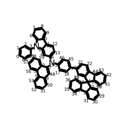 c1ccc(-n2c3ccccc3c3ccc(N(c4ccc(-c5ccc6c(c5)C5(c7ccccc7-c7ccccc75)c5ccccc5-6)cc4)c4cc5ccccc5c5ccccc45)cc32)cc1